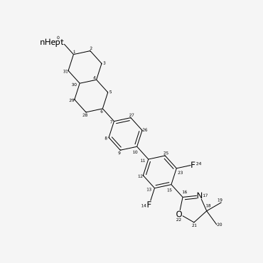 CCCCCCCC1CCC2CC(c3ccc(-c4cc(F)c(C5=NC(C)(C)CO5)c(F)c4)cc3)CCC2C1